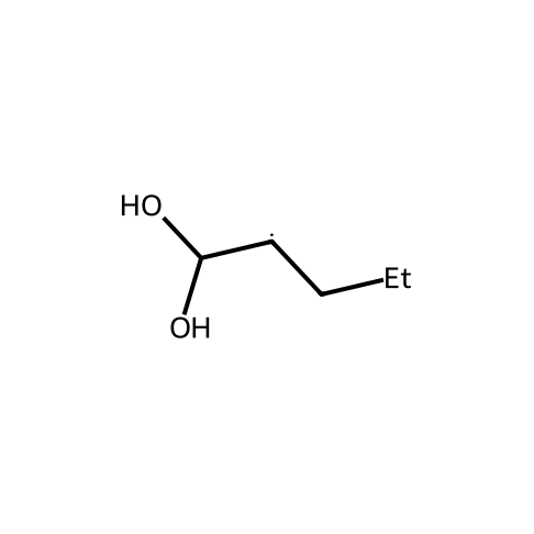 CCC[CH]C(O)O